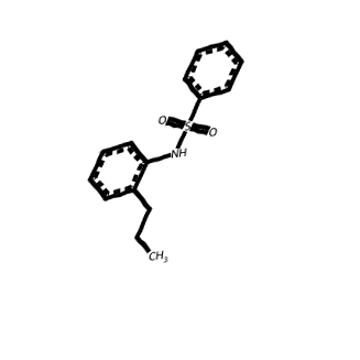 CCCc1cc[c]cc1NS(=O)(=O)c1ccccc1